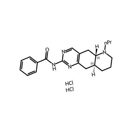 CCCN1CCC[C@H]2Cc3nc(NC(=O)c4ccccc4)ncc3C[C@@H]21.Cl.Cl